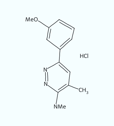 CNc1nnc(-c2cccc(OC)c2)cc1C.Cl